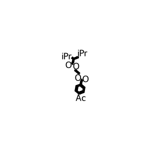 CC(=O)c1ccc(C(=O)OCCOC(=O)C(CC(C)C)C(C)C)cc1